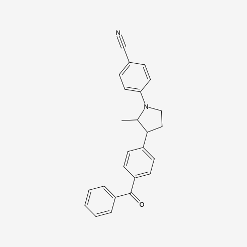 CC1C(c2ccc(C(=O)c3ccccc3)cc2)CCN1c1ccc(C#N)cc1